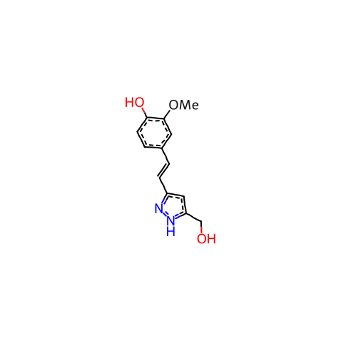 COc1cc(C=Cc2cc(CO)[nH]n2)ccc1O